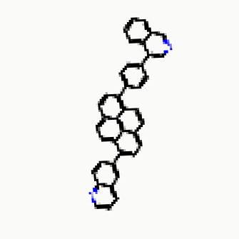 c1cnc2ccc(-c3ccc4ccc5c(-c6ccc(-c7cncc8ccccc78)cc6)ccc6ccc3c4c65)cc2c1